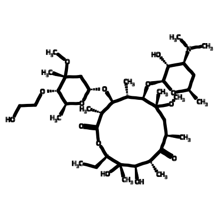 CC[C@H]1OC(=O)[C@H](C)[C@@H](O[C@H]2C[C@@](C)(OC)[C@@H](OCCO)[C@H](C)O2)[C@H](C)[C@@H](O[C@@H]2O[C@H](C)C[C@H](N(C)C)[C@H]2O)[C@](C)(OC)C[C@@H](C)C(=O)[C@H](C)[C@@H](O)[C@]1(C)O